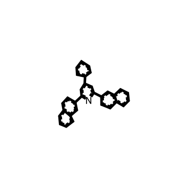 c1ccc(-c2cc(-c3ccc4ccccc4c3)nc(-c3ccc4ccccc4c3)c2)cc1